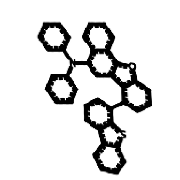 c1ccc(N(c2ccccc2)c2cc3c(oc4cccc(-c5cccc6c5sc5ccccc56)c43)c3ccccc23)cc1